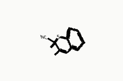 CC1=Cc2ccccc2SC1(C)C#N